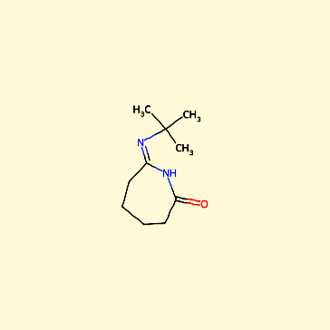 CC(C)(C)N=C1CCCCC(=O)N1